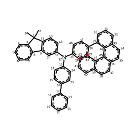 CC1(C)c2ccccc2-c2cc(N(c3ccc(-c4ccccc4)cc3)c3ccc(-c4cccc5ccc6ccc7ccccc7c6c45)cc3)ccc21